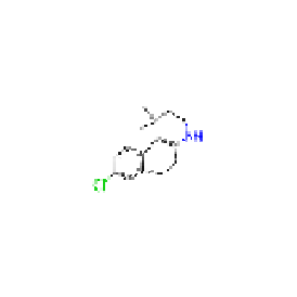 CC1(C)CCNC2=C1c1ccc(Cl)cc1CC2